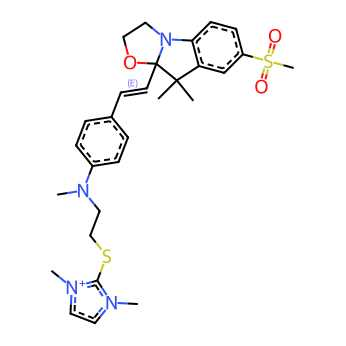 CN(CCSc1n(C)cc[n+]1C)c1ccc(/C=C/C23OCCN2c2ccc(S(C)(=O)=O)cc2C3(C)C)cc1